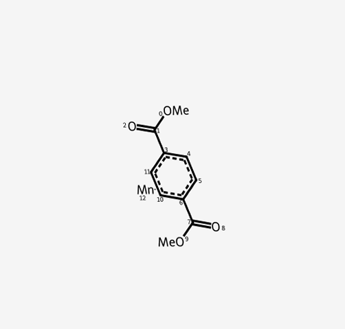 COC(=O)c1ccc(C(=O)OC)cc1.[Mn]